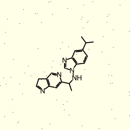 CC(C)c1ccc2c(c1)ncn2NC(C)c1cc2c(cn1)CC=N2